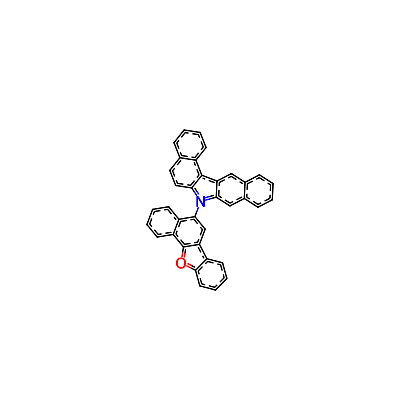 c1ccc2cc3c(cc2c1)c1c2ccccc2ccc1n3-c1cc2c3ccccc3oc2c2ccccc12